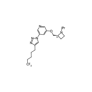 CC(C)N1CC[C@H]1COc1cncc(-n2cc(CCCCC(F)(F)F)nn2)c1